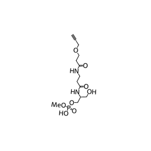 C#CCOCCC(=O)NCCC(=O)NC(CO)COP(=O)(O)OC